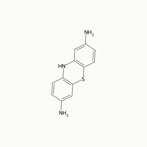 Nc1ccc2c(c1)Nc1ccc(N)cc1S2